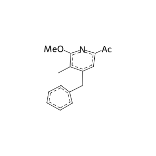 COc1nc(C(C)=O)cc(Cc2ccccc2)c1C